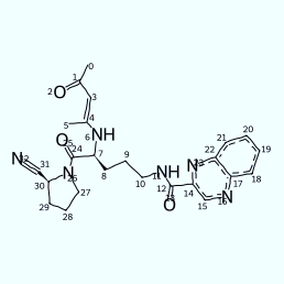 CC(=O)/C=C(\C)N[C@@H](CCCNC(=O)c1cnc2ccccc2n1)C(=O)N1CCC[C@H]1C#N